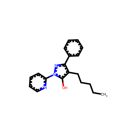 CCCCCc1c(-c2ccccc2)nn(-c2ccccn2)c1O